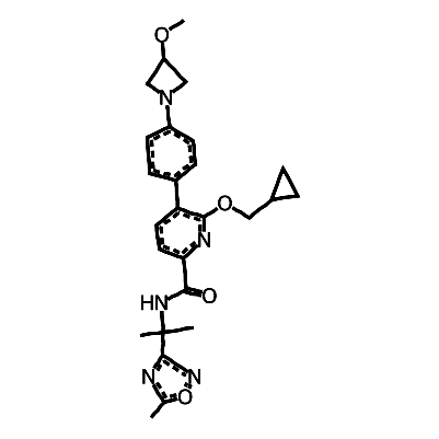 COC1CN(c2ccc(-c3ccc(C(=O)NC(C)(C)c4noc(C)n4)nc3OCC3CC3)cc2)C1